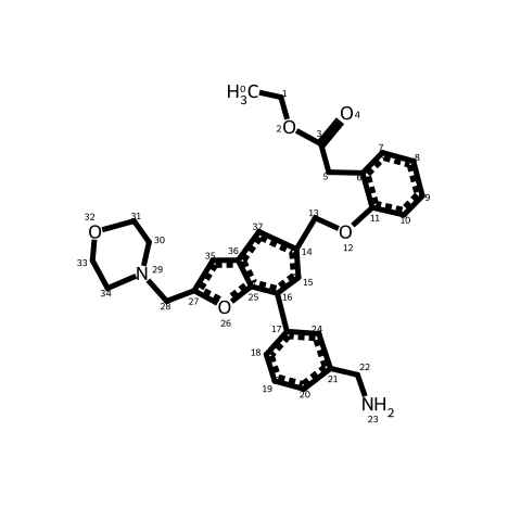 CCOC(=O)Cc1ccccc1OCc1cc(-c2cccc(CN)c2)c2oc(CN3CCOCC3)cc2c1